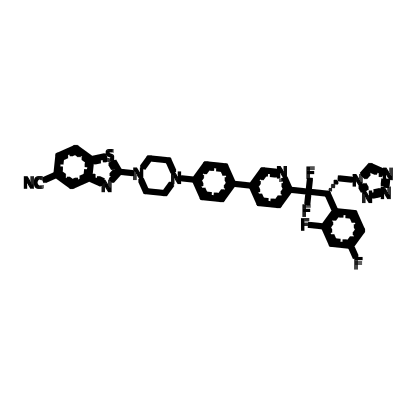 N#Cc1ccc2sc(N3CCN(c4ccc(-c5ccc(C(F)(F)[C@H](Cn6cnnn6)c6ccc(F)cc6F)nc5)cc4)CC3)nc2c1